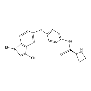 CCn1cc(C#N)c2cc(Oc3ccc(NC(=O)[C@@H]4CCN4)cc3)ccc21